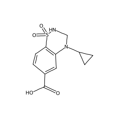 O=C(O)c1ccc2c(c1)N(C1CC1)CNS2(=O)=O